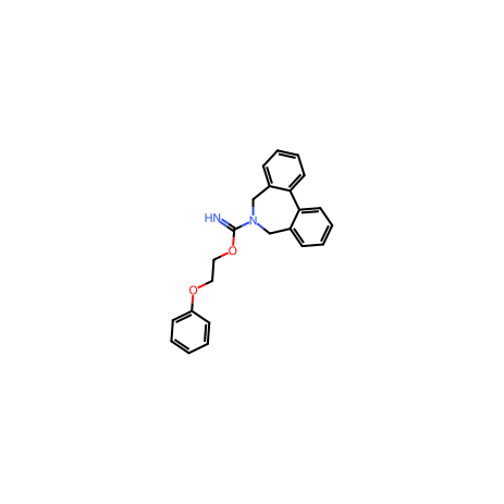 N=C(OCCOc1ccccc1)N1Cc2ccccc2-c2ccccc2C1